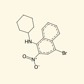 O=[N+]([O-])c1cc(Br)c2ccccc2c1NC1CCCCC1